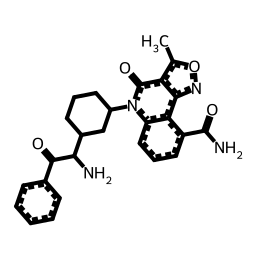 Cc1onc2c1c(=O)n(C1CCCC(C(N)C(=O)c3ccccc3)C1)c1cccc(C(N)=O)c21